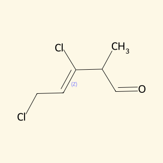 CC(C=O)/C(Cl)=C/CCl